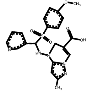 COc1ccc(S(=O)(=O)C(NN2CC(C(=O)O)=Cn3nc(C)cc32)c2cccnc2)cc1